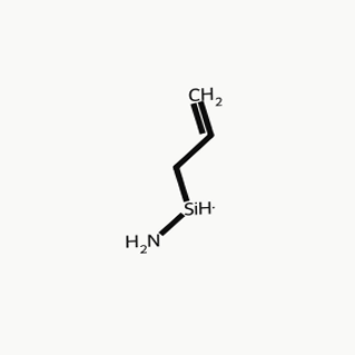 C=CC[SiH]N